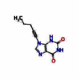 CCCC#Cn1cnc2c(=O)[nH]c(=O)[nH]c21